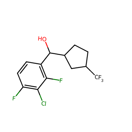 OC(c1ccc(F)c(Cl)c1F)C1CCC(C(F)(F)F)C1